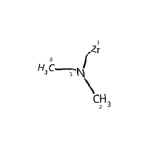 C[N](C)[Zr]